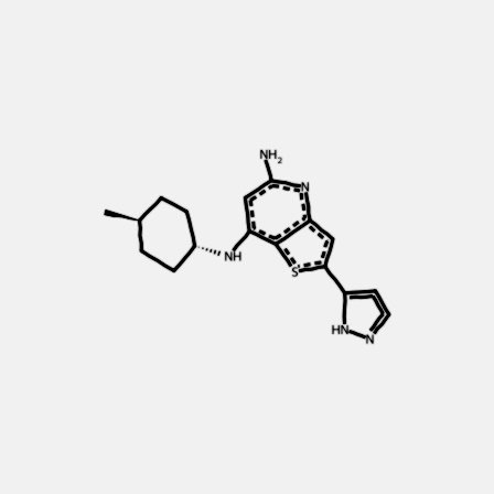 C[C@H]1CC[C@H](Nc2cc(N)nc3cc(C4=C=C=NN4)sc23)CC1